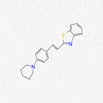 C(=Cc1nc2ccccc2s1)c1ccc(N2CCCCC2)cc1